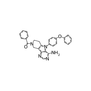 Nc1ncnc2c3c(n(-c4ccc(Oc5ccccc5)cc4)c12)CCN(C(=O)c1ccccc1)C3